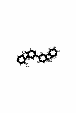 Clc1cccc2oc3ccc(-c4ccc5oc6ccccc6c5c4)cc3c12